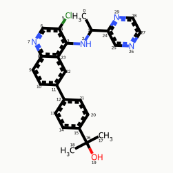 CC(Nc1c(Cl)cnc2ccc(-c3ccc(C(C)(C)O)cc3)cc12)c1cnccn1